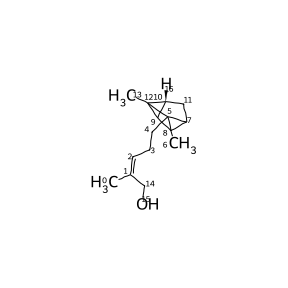 C/C(=C/CCC1(C)C2CC3[C@@H](C2)C31C)CO